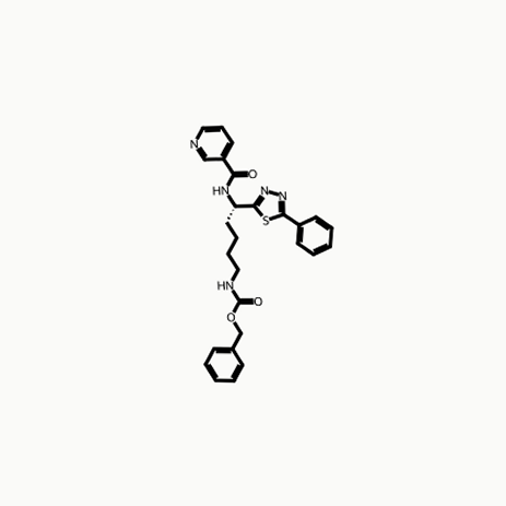 O=C(NCCCC[C@H](NC(=O)c1cccnc1)c1nnc(-c2ccccc2)s1)OCc1ccccc1